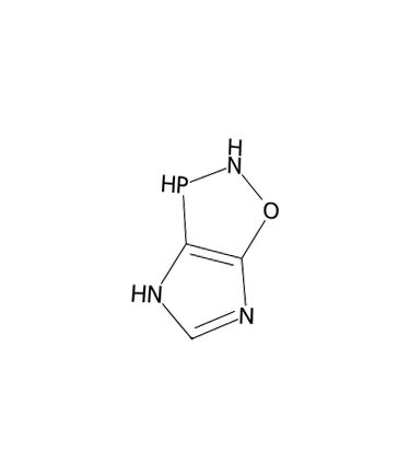 c1nc2c([nH]1)PNO2